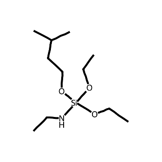 CCN[Si](OCC)(OCC)OCCC(C)C